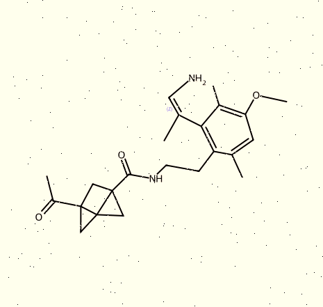 COc1cc(C)c(CCNC(=O)C23CC4(C(C)=O)CC42C3)c(/C(C)=C\N)c1C